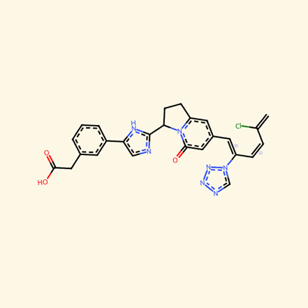 C=C(Cl)/C=C\C(=C\c1cc2n(c(=O)c1)C(c1ncc(-c3cccc(CC(=O)O)c3)[nH]1)CC2)n1cnnn1